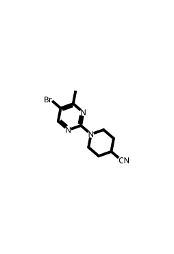 Cc1nc(N2CCC(C#N)CC2)ncc1Br